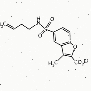 C=CCCNS(=O)(=O)c1ccc2oc(C(=O)OCC)c(C)c2c1